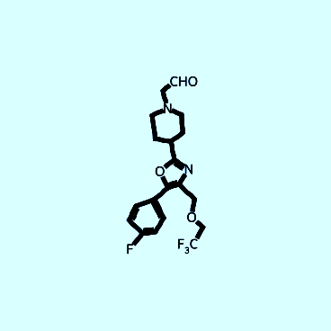 O=CCN1CCC(c2nc(COCC(F)(F)F)c(-c3ccc(F)cc3)o2)CC1